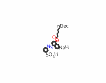 CCCCCCCCCCCCCCCC(=O)Oc1ccc(N=Nc2cccc(S(=O)(=O)O)c2)c2ccccc12.[NaH]